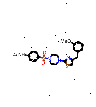 COc1cccc(Cc2csc(N3CCN(S(=O)(=O)c4ccc(NC(C)=O)cc4)CC3)n2)c1